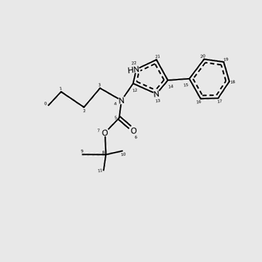 CCCCN(C(=O)OC(C)(C)C)c1nc(-c2ccccc2)c[nH]1